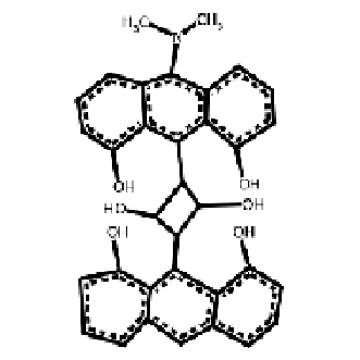 CN(C)c1c2cccc(O)c2c(C2C(O)C(c3c4c(O)cccc4cc4cccc(O)c34)C2O)c2c(O)cccc12